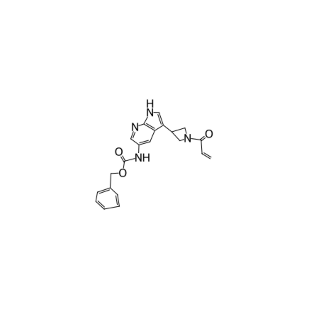 C=CC(=O)N1CC(c2c[nH]c3ncc(NC(=O)OCc4ccccc4)cc23)C1